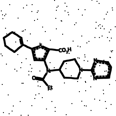 CCC(=O)N(c1cc(C2=CCCCC2)sc1C(=O)O)C1CCN(c2ncccn2)CC1